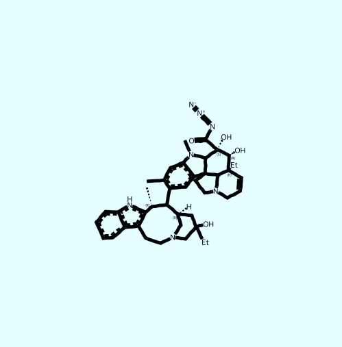 CCC1(O)C[C@H]2CN(CCc3c([nH]c4ccccc34)[C@H](C)C2c2cc3c(cc2C)N(C)C2C34CCN3CC=C[C@](CC)(C34)[C@@H](O)[C@]2(O)C(=O)N=[N+]=[N-])C1